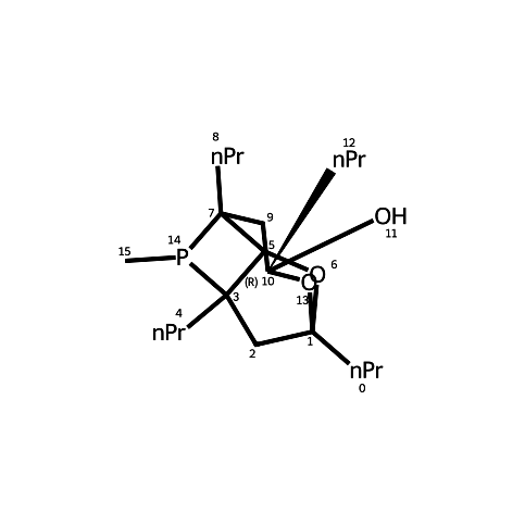 CCCC12CC3(CCC)C(O1)C(CCC)(C[C@@](O)(CCC)O2)P3C